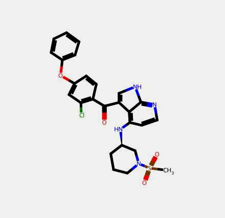 CS(=O)(=O)N1CCC[C@@H](Nc2ccnc3[nH]cc(C(=O)c4ccc(Oc5ccccc5)cc4Cl)c23)C1